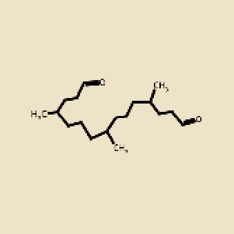 CC(CCC=O)CCCC(C)CCCC(C)CCC=O